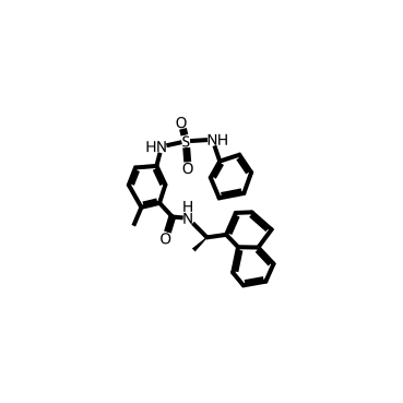 Cc1ccc(NS(=O)(=O)Nc2ccccc2)cc1C(=O)N[C@H](C)c1cccc2ccccc12